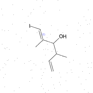 C=CC(C)C(O)/C(C)=C/I